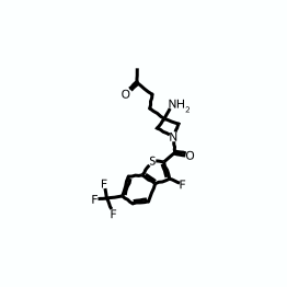 CC(=O)CCC1(N)CN(C(=O)c2sc3cc(C(F)(F)F)ccc3c2F)C1